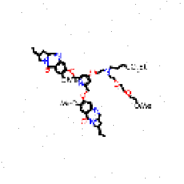 C/C=C1\CC2C=Nc3cc(OCc4cc(OCCN(CCCC(=O)OCC)CCOCCOCCOC)cc(COc5cc6c(cc5OC)C(=O)N5C/C(=C/C)CC5C=N6)n4)c(OC)cc3C(=O)N2C1